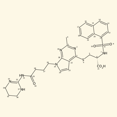 Cc1nc(SC[C@H](NS(=O)(=O)c2cccc3ccccc23)C(=O)O)c2ccn(CCCC(=O)NC3=NCCCN3)c2n1